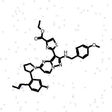 C/C=C/c1ccc(F)cc1C1CCCN1c1ccn2nc(NCc3ccc(OC)cc3)c(-c3nc(C(=O)OCC)cs3)c2n1